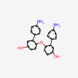 Nc1ccc(-c2cc(O)ccc2Oc2ccc(O)cc2-c2ccc(N)cc2)cc1